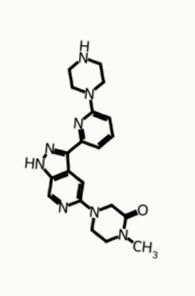 CN1CCN(c2cc3c(-c4cccc(N5CCNCC5)n4)n[nH]c3cn2)CC1=O